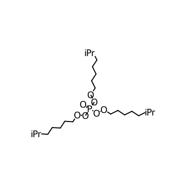 CC(C)CCCCCOOP(=O)(OOCCCCCC(C)C)OOCCCCCC(C)C